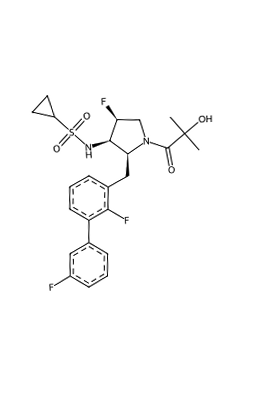 CC(C)(O)C(=O)N1C[C@H](F)[C@H](NS(=O)(=O)C2CC2)[C@@H]1Cc1cccc(-c2cccc(F)c2)c1F